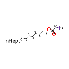 CCCCCCCCCCCCCCCOC(=O)CI